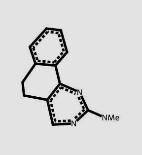 CNc1ncc2c(n1)-c1ccccc1CC2